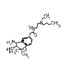 CCCCN(CC)CCNC(=O)Cc1ccc2c(c1)C(N)C(O)C(C)(C)O2